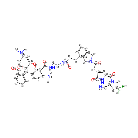 CN(C)c1ccc2c(c1C(=O)NCCNC(=O)CCc1cccc3c1CN(C(=O)C[C@@H]1C[C@@H](C(=O)N4CC(F)(F)C[C@H]4C#N)NC1=O)C3)OC1=CC(N(C)C)C=CC1=C2c1ccccc1C(=O)O